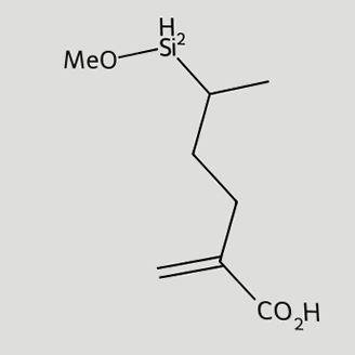 C=C(CCC(C)[SiH2]OC)C(=O)O